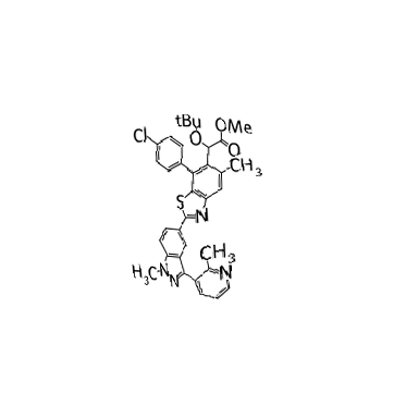 COC(=O)C(OC(C)(C)C)c1c(C)cc2nc(-c3ccc4c(c3)c(-c3cccnc3C)nn4C)sc2c1-c1ccc(Cl)cc1